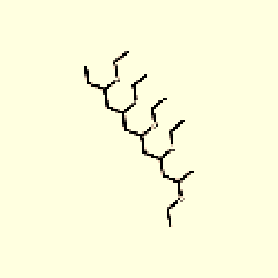 CCOC(C)CC(CC(CC(CC(CC)OCC)OCC)OCC)OCC